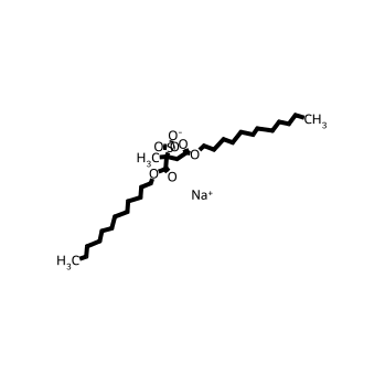 CCCCCCCCCCCCOC(=O)CC(C)(C(=O)OCCCCCCCCCCCC)S(=O)(=O)[O-].[Na+]